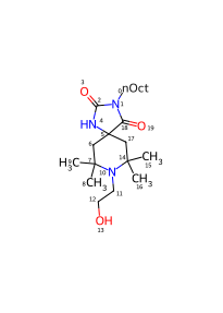 CCCCCCCCN1C(=O)NC2(CC(C)(C)N(CCO)C(C)(C)C2)C1=O